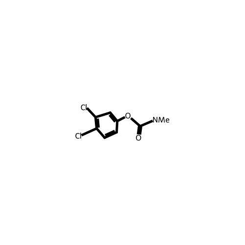 CNC(=O)Oc1ccc(Cl)c(Cl)c1